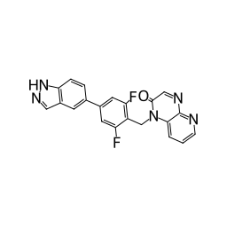 O=c1cnc2ncccc2n1Cc1c(F)cc(-c2ccc3[nH]ncc3c2)cc1F